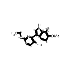 COc1ccc2c(-c3nc(OCC(F)(F)F)ncc3C(F)(F)F)c[nH]c2c1Br